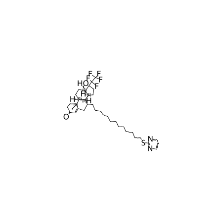 C[C@]12CCC(=O)C=C1CC(CCCCCCCCCCCCCSc1ncccn1)[C@@H]1[C@H]2CC[C@@]2(C)[C@H]1CCC2(O)C(F)(F)C(F)(F)F